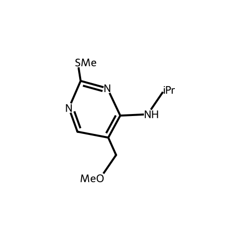 COCc1cnc(SC)nc1NC(C)C